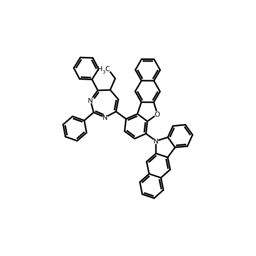 CCC1C=C(c2ccc(-n3c4ccccc4c4cc5ccccc5cc43)c3oc4cc5ccccc5cc4c23)N=C(c2ccccc2)N=C1c1ccccc1